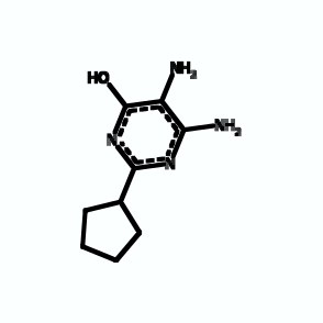 Nc1nc(C2CCCC2)nc(O)c1N